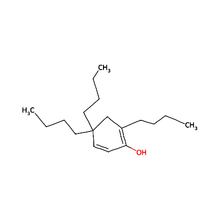 CCCCC1=C(O)C=CC(CCCC)(CCCC)C1